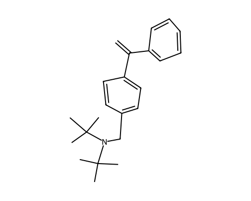 C=C(c1ccccc1)c1ccc(CN(C(C)(C)C)C(C)(C)C)cc1